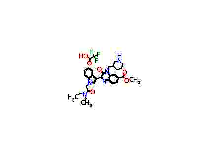 CCN(CC)C(=O)Cn1cc(-c2nc3ccc(C(=O)OC)cc3n(CC3CCCNC3)c2=O)c2ccccc21.O=C(O)C(F)(F)F